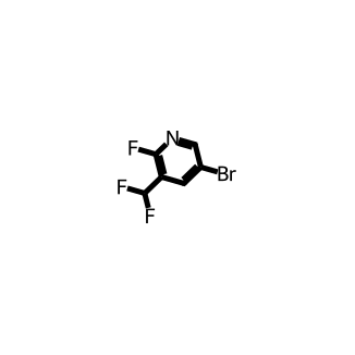 Fc1ncc(Br)cc1C(F)F